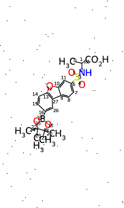 CC(NS(=O)(=O)c1ccc2c(c1)oc1ccc(B3OC(C)(C)C(C)(C)O3)cc12)C(=O)O